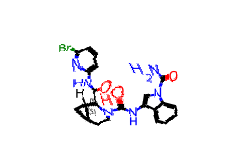 NC(=O)n1cc(NC(=O)N2CCC3C[C@@H]3[C@H]2C(O)Nc2cccc(Br)n2)c2ccccc21